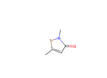 Cc1cc(=O)n(C)s1